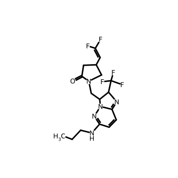 CCCNC1=NN2C(=NC(C(F)(F)F)C2CN2CC(C=C(F)F)CC2=O)C=C1